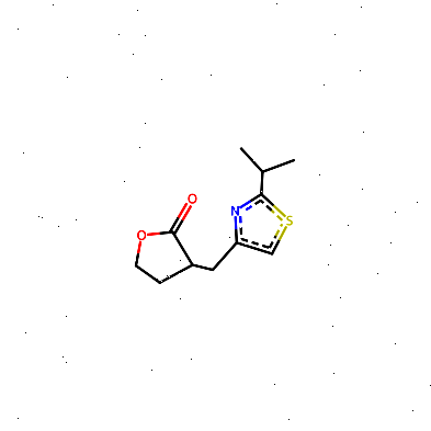 CC(C)c1nc(CC2CCOC2=O)cs1